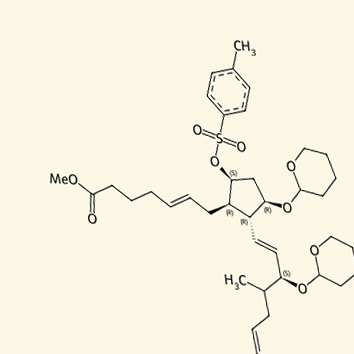 COC(=O)CCCC=CC[C@@H]1[C@@H](C=C[C@@H](OC2CCCCO2)C(C)CC=C(C)C)[C@H](OC2CCCCO2)C[C@@H]1OS(=O)(=O)c1ccc(C)cc1